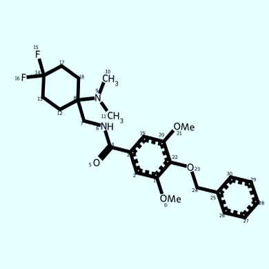 COc1cc(C(=O)NCC2(N(C)C)CCC(F)(F)CC2)cc(OC)c1OCc1ccccc1